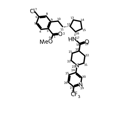 COC(=O)c1ccc(Cl)cc1CC[C@@H]1CCC[C@@H]1NC(=O)C1CCN(c2ccc(C(F)(F)F)nc2)CC1